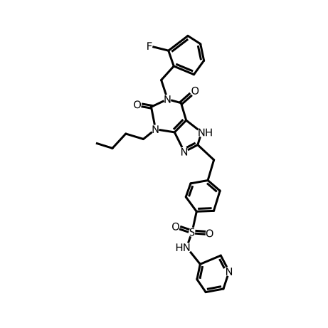 CCCCn1c(=O)n(Cc2ccccc2F)c(=O)c2[nH]c(Cc3ccc(S(=O)(=O)Nc4cccnc4)cc3)nc21